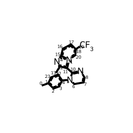 Cc1ccc(N2CC=CN=C2c2c(C)nc3ccc(C(F)(F)F)cn23)cc1